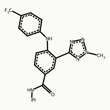 CC(C)NC(=O)c1ccc(Nc2ccc(C(F)(F)F)cc2)c(-c2nnn(C)n2)c1